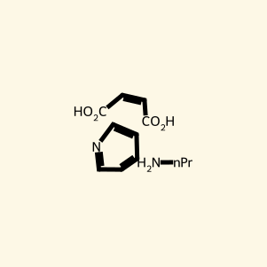 CCCN.O=C(O)/C=C\C(=O)O.c1ccncc1